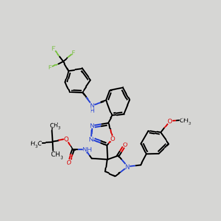 COc1ccc(CN2CCC(CNC(=O)OC(C)(C)C)(c3nnc(-c4ccccc4Nc4ccc(C(F)(F)F)cc4)o3)C2=O)cc1